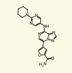 NC(=O)c1cc(-c2cnc(Nc3cnc(N4CCCCC4)nc3)c3ncnn23)co1